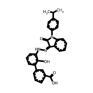 CC(C)c1ccc(N2C(=O)C(=NNc3cccc(-c4cccc(C(=O)O)c4)c3O)c3ccccc32)cc1